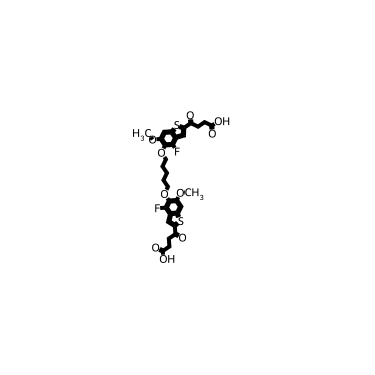 COc1cc2sc(C(=O)CCC(=O)O)cc2c(F)c1OCCCCCOc1c(OC)cc2sc(C(=O)CCC(=O)O)cc2c1F